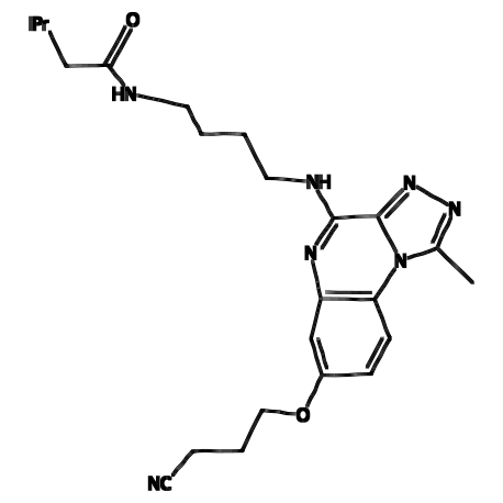 Cc1nnc2c(NCCCCNC(=O)CC(C)C)nc3cc(OCCCC#N)ccc3n12